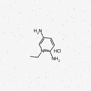 CC[n+]1cc(N)ccc1N.Cl